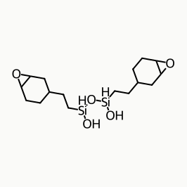 O[SiH](CCC1CCC2OC2C1)O[SiH](O)CCC1CCC2OC2C1